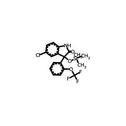 C[Si](C)(C)OC1(c2ccccc2OC(F)(F)F)C(=O)Nc2ccc(Cl)cc21